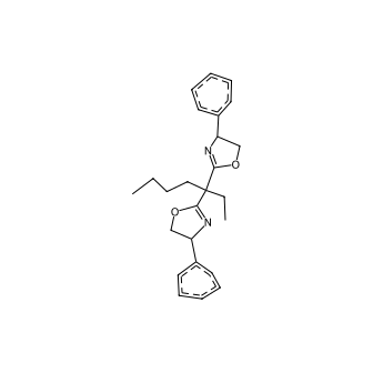 CCCCC(CC)(C1=NC(c2ccccc2)CO1)C1=NC(c2ccccc2)CO1